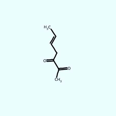 CC=CCC(=O)C(C)=O